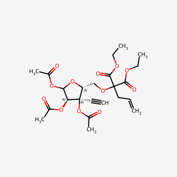 C#C[C@@]1(OC(C)=O)[C@@H](COC(CC=C)(C(=O)OCC)C(=O)OCC)OC(OC(C)=O)[C@@H]1OC(C)=O